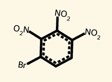 O=[N+]([O-])c1ccc(Br)c([N+](=O)[O-])c1[N+](=O)[O-]